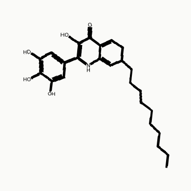 CCCCCCCCCCC1C=c2[nH]c(-c3cc(O)c(O)c(O)c3)c(O)c(=O)c2=CC1